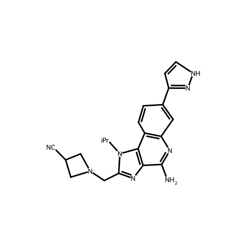 CC(C)n1c(CN2CC(C#N)C2)nc2c(N)nc3cc(-c4cc[nH]n4)ccc3c21